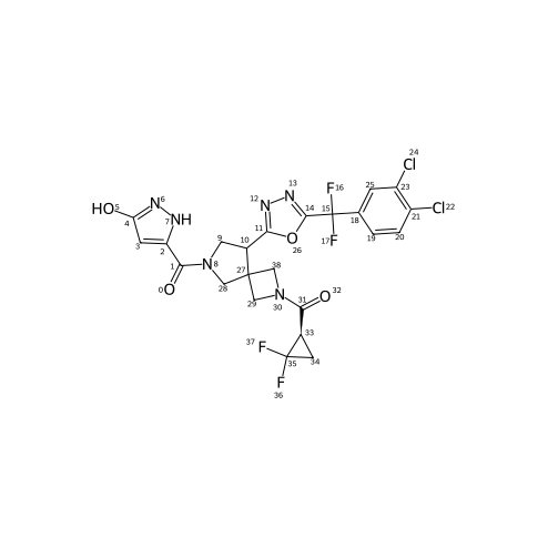 O=C(c1cc(O)n[nH]1)N1CC(c2nnc(C(F)(F)c3ccc(Cl)c(Cl)c3)o2)C2(C1)CN(C(=O)[C@H]1CC1(F)F)C2